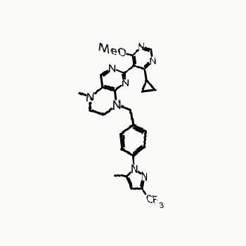 COc1ncnc(C2CC2)c1-c1ncc2c(n1)N(Cc1ccc(-n3nc(C(F)(F)F)cc3C)cc1)CCN2C